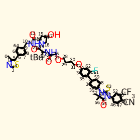 Cc1ncsc1-c1ccc(CNC(=O)[C@@H]2C[C@@H](O)CN2C(=O)C(NC(=O)COCCCCOc2ccc(-c3ccc(N4C(=S)N(c5ccc(C#N)c(C(F)(F)F)c5)C(=O)C4(C)C)cc3)c(F)c2)C(C)(C)C)cc1